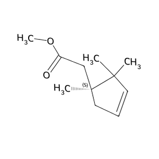 COC(=O)C[C@]1(C)CC=CC1(C)C